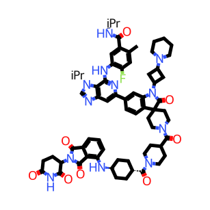 Cc1cc(F)c(Nc2nc(-c3ccc4c(c3)N(C3CC(N5CCCCC5)C3)C(=O)C43CCN(C(=O)C4CCN(C(=O)[C@H]5CC[C@H](Nc6cccc7c6C(=O)N(C6CCC(=O)NC6=O)C7=O)CC5)CC4)CC3)cc3ncn(C(C)C)c23)cc1C(=O)NC(C)C